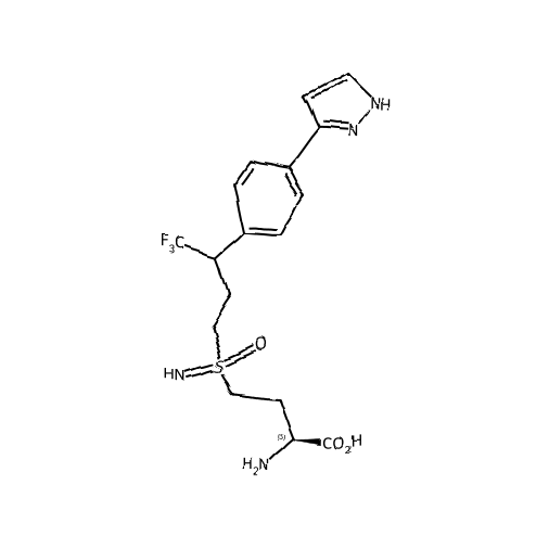 N=S(=O)(CCC(c1ccc(-c2cc[nH]n2)cc1)C(F)(F)F)CC[C@H](N)C(=O)O